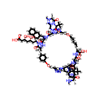 CCCN(C(=O)[C@@H](NC(=O)[C@H](C)NC)C(C)(C)C)[C@@H]1C(=O)N[C@@H](Cc2ccc3ccccc3c2)C(=O)N[C@H](C(=O)NCC[C@@H](O)C[C@@H](O)CC(=O)O)Cc2ccc(cc2)OCc2cn(nn2)[C@@H]2CCN(C(=O)[C@@H](NC(=O)[C@H](C)NC)C(C)(C)C)[C@@H]2C(=O)N[C@@H](Cc2ccc3ccccc3c2)C(=O)N[C@H](C(=O)O)Cc2ccc(cc2)OCC2CN1N=N2